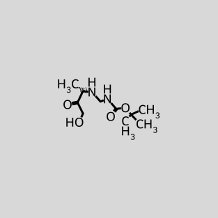 C[C@H](NCNC(=O)OC(C)(C)C)C(=O)CO